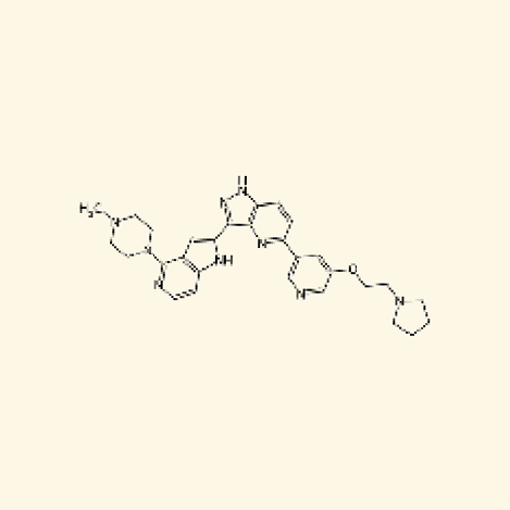 CN1CCN(c2nccc3[nH]c(-c4n[nH]c5ccc(-c6cncc(OCCN7CCCC7)c6)nc45)cc23)CC1